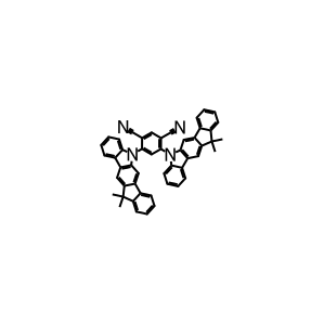 CC1(C)c2ccccc2-c2cc3c(cc21)c1ccccc1n3-c1cc(-n2c3ccccc3c3cc4c(cc32)-c2ccccc2C4(C)C)c(C#N)cc1C#N